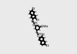 CCc1ccc2cc(OPOC3CC(OC)CC(OPOc4cc5ccc(CC)cc5cc4CC)C3)c(CC)cc2c1